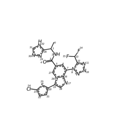 CC(NC(=O)c1cc(-n2nnnc2C(F)F)c2ncc(-c3ccc(Cl)s3)n2c1)c1nnc[nH]1